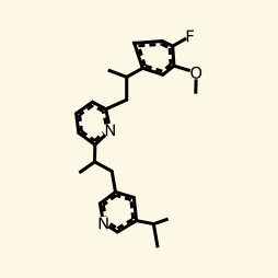 COc1cc(C(C)Cc2cccc(C(C)Cc3cncc(C(C)C)c3)n2)ccc1F